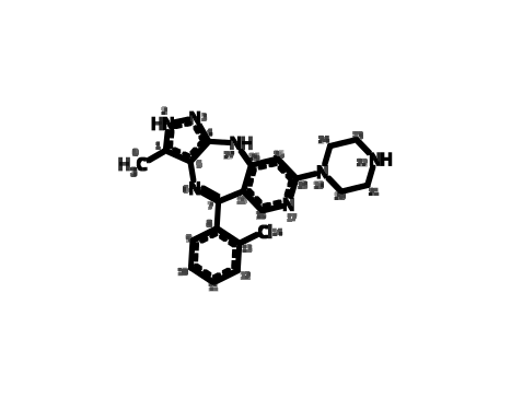 Cc1[nH]nc2c1N=C(c1ccccc1Cl)c1cnc(N3CCNCC3)cc1N2